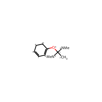 CNC(C)(NC)OC1=CC=CC[CH]1